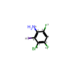 Nc1c(F)cc(F)c(Br)c1I